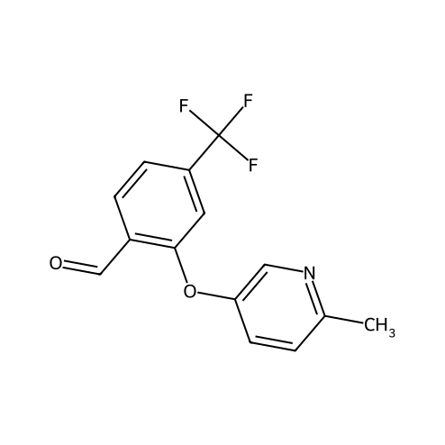 Cc1ccc(Oc2cc(C(F)(F)F)ccc2C=O)cn1